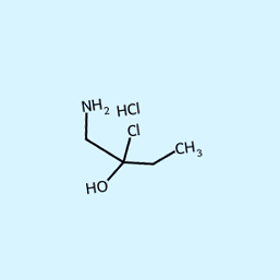 CCC(O)(Cl)CN.Cl